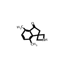 Cc1ccc(C)c2c1C(=O)CC21CNC1